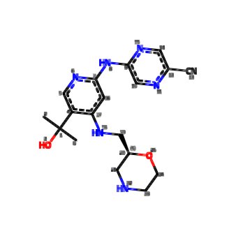 CC(C)(O)c1cnc(Nc2cnc(C#N)cn2)cc1NC[C@@H]1CNCCO1